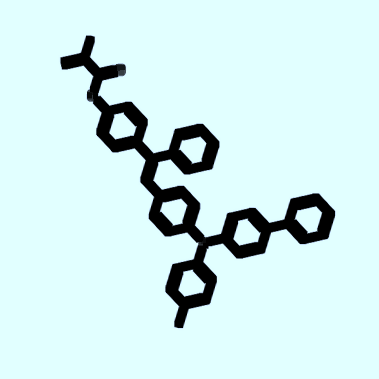 C=C(C)C(=O)Oc1ccc(C(=Cc2ccc(N(c3ccc(C)cc3)c3ccc(-c4ccccc4)cc3)cc2)c2ccccc2)cc1